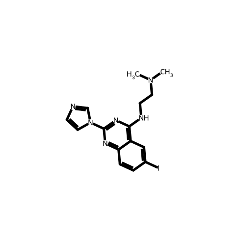 CN(C)CCNc1nc(-n2ccnc2)nc2ccc(I)cc12